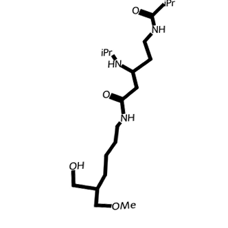 COCC(CO)CCCCNC(=O)CC(CCNC(=O)C(C)C)NC(C)C